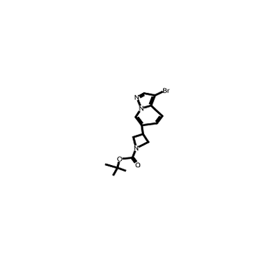 CC(C)(C)OC(=O)N1CC(c2ccc3c(Br)cnn3c2)C1